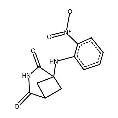 O=C1NC(=O)C2(Nc3ccccc3[N+](=O)[O-])CC1C2